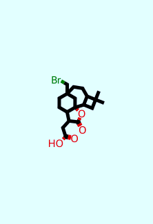 CC1(C)CC2C1CCC1(CBr)CCC3C(CC(=O)O)C(=O)OC32C1